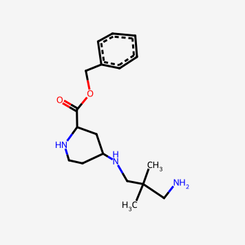 CC(C)(CN)CNC1CCNC(C(=O)OCc2ccccc2)C1